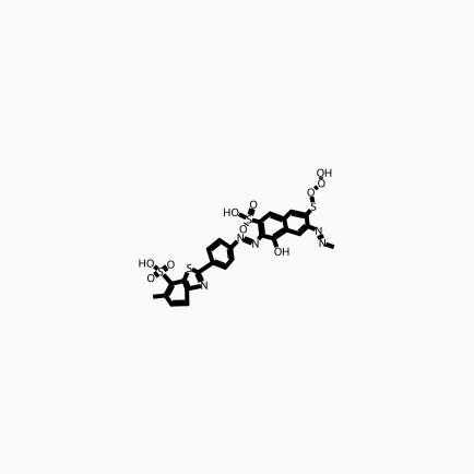 CN=Nc1cc2c(O)c(N=Nc3ccc(-c4nc5ccc(C)c(S(=O)(=O)O)c5s4)cc3)c(S(=O)(=O)O)cc2cc1SOOO